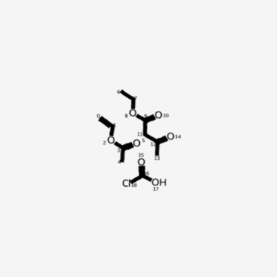 C=COC(C)=O.CCOC(=O)CC(C)=O.O=C(O)Cl